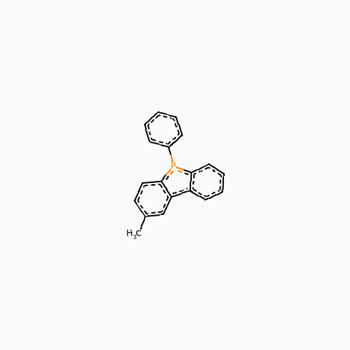 Cc1ccc2c(c1)c1ccccc1p2-c1ccccc1